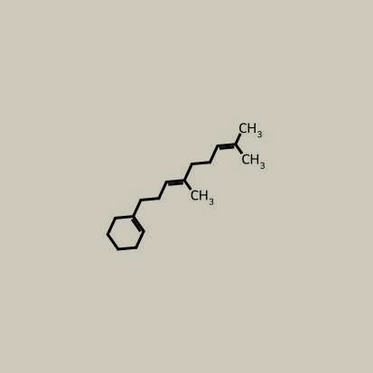 CC(C)=CCC/C(C)=C/CCC1=CCCCC1